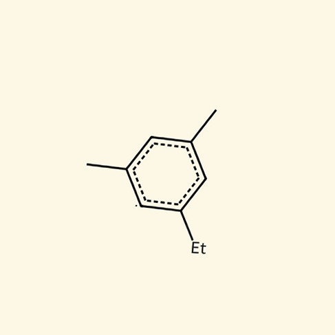 CCc1[c]c(C)cc(C)c1